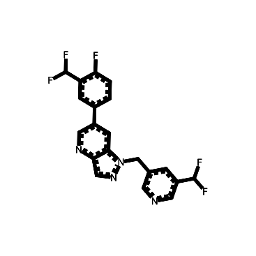 Fc1ccc(-c2cnc3cnn(Cc4cncc(C(F)F)c4)c3c2)cc1C(F)F